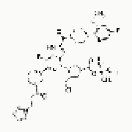 CCC1CN(C(=O)OC(C)(C)C)CC1c1cc(C2=CCCN(C(=O)CCn3ccnn3)C2)c(F)c2[nH]c(C(=O)N3CCN(c4ncc(F)cc4OC)CC3)cc12